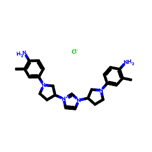 Cc1cc(N2CCC(n3cc[n+](C4CCN(c5ccc(N)c(C)c5)C4)c3)C2)ccc1N.[Cl-]